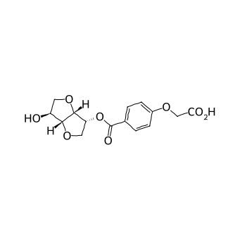 O=C(O)COc1ccc(C(=O)O[C@@H]2CO[C@H]3[C@@H]2OC[C@@H]3O)cc1